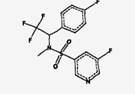 CN(C(c1ccc(F)cc1)C(F)(F)F)S(=O)(=O)c1cncc(F)c1